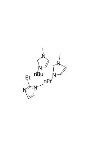 CCCCN1C=CN(C)C1.CCCN1C=CN(C)C1.CCc1nccn1C